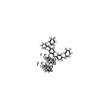 O=S(=O)([O-])C(F)(F)C(F)(F)C(F)(F)C(F)(F)F.O=S(=O)([O-])C(F)(F)C(F)(F)C(F)(F)C(F)(F)F.c1ccc([I+]c2ccc(Cc3ccc([S+](c4ccccc4)c4ccccc4)cc3)cc2)cc1